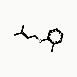 CC(C)=CCOc1ccccc1C